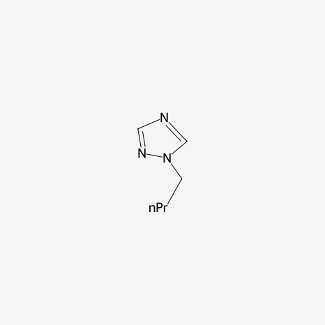 CCCCn1cncn1